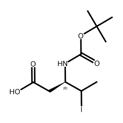 CC(I)[C@@H](CC(=O)O)NC(=O)OC(C)(C)C